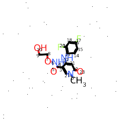 Cn1cc(C(=O)NOCCO)c(Nc2ccc(F)cc2F)cc1=O